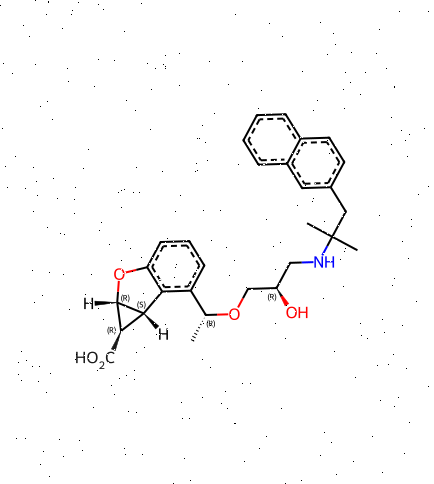 C[C@@H](OC[C@H](O)CNC(C)(C)Cc1ccc2ccccc2c1)c1cccc2c1[C@H]1[C@@H](O2)[C@@H]1C(=O)O